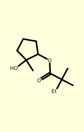 CCC(C)(C)C(=O)OC1CCCC1(C)O